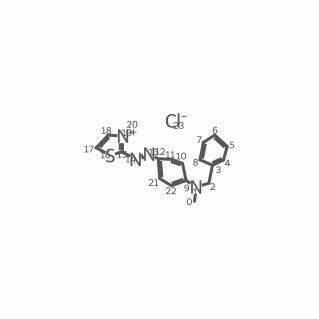 CN(Cc1ccccc1)c1ccc(/N=N/c2scc[n+]2C)cc1.[Cl-]